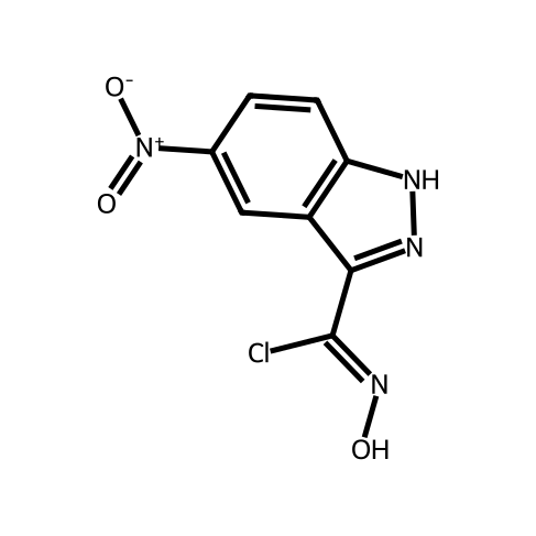 O=[N+]([O-])c1ccc2[nH]nc(C(Cl)=NO)c2c1